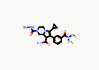 CN(C)C(=O)c1cccc(C2=C(C3CC3)N3CCN(C(=O)NC(C)(C)C)CC3C2C(N)=O)c1